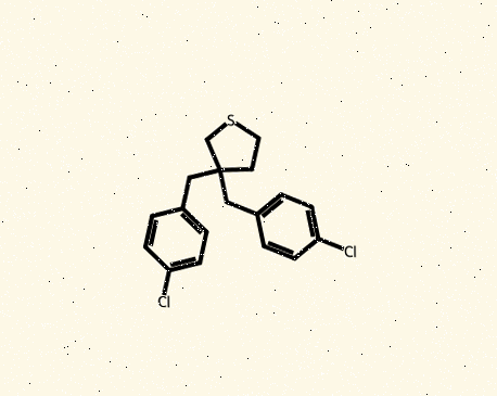 Clc1ccc(CC2(Cc3ccc(Cl)cc3)CCSC2)cc1